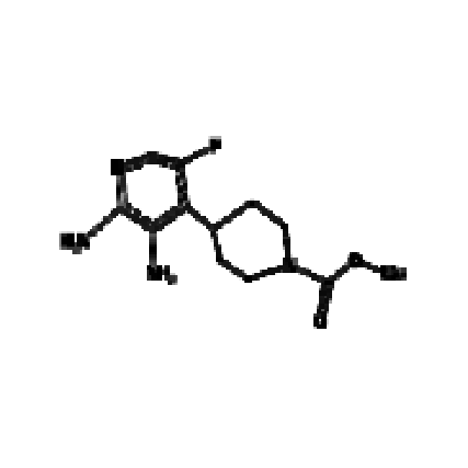 CC(C)(C)OC(=O)N1CCC(c2c(F)cnc(N)c2N)CC1